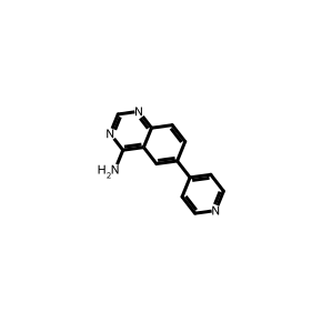 Nc1ncnc2ccc(-c3ccncc3)cc12